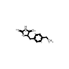 CCc1ccc(CC2SC(=S)NC2=O)cc1